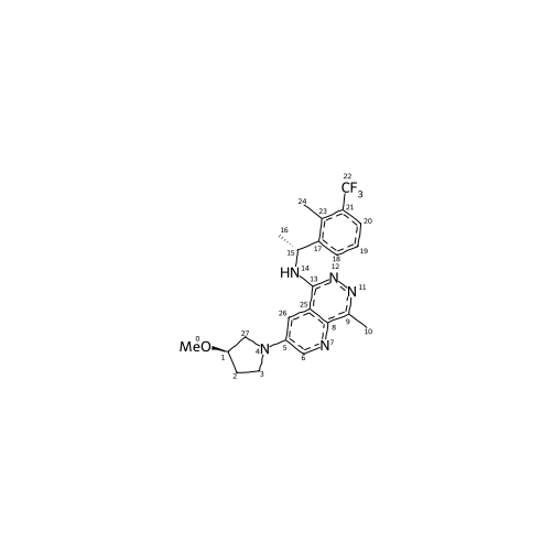 CO[C@@H]1CCN(c2cnc3c(C)nnc(N[C@H](C)c4cccc(C(F)(F)F)c4C)c3c2)C1